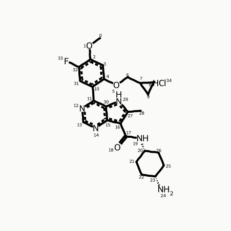 COc1cc(OCC2CC2)c(-c2ncnc3c(C(=O)N[C@H]4CC[C@@H](N)CC4)c(C)[nH]c23)cc1F.Cl